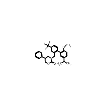 COc1ccc(C(C)C)cc1-c1ccc(C(F)(F)F)cc1CN1CC(c2ccccc2)COC1=O